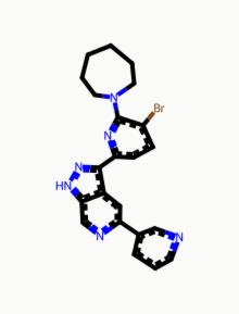 Brc1ccc(-c2n[nH]c3cnc(-c4cccnc4)cc23)nc1N1CCCCCC1